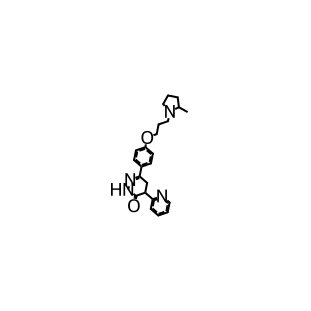 CC1CCCN1CCCOc1ccc(C2=NNC(=O)C(c3ccccn3)C2)cc1